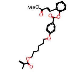 C=C(C)C(=O)OCCCCCCOc1ccc(C(=O)Oc2ccccc2/C=C/C(=O)OC)cc1